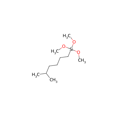 CO[Si](CCCCC(C)C)(OC)OC